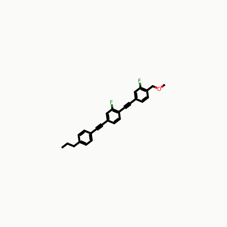 CCCc1ccc(C#Cc2ccc(C#Cc3ccc(COC)c(F)c3)c(F)c2)cc1